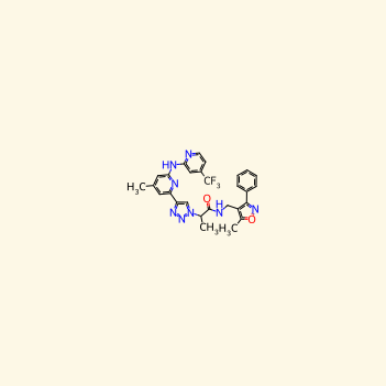 Cc1cc(Nc2cc(C(F)(F)F)ccn2)nc(-c2cn(C(C)C(=O)NCc3c(-c4ccccc4)noc3C)nn2)c1